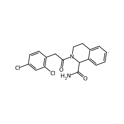 NC(=O)C1c2cc[c]cc2CCN1C(=O)Cc1ccc(Cl)cc1Cl